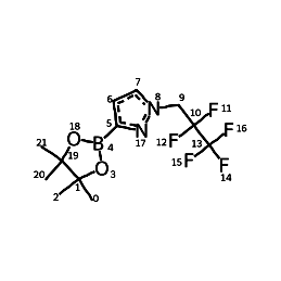 CC1(C)OB(c2ccn(CC(F)(F)C(F)(F)F)n2)OC1(C)C